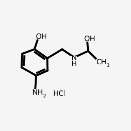 CC(O)NCc1cc(N)ccc1O.Cl